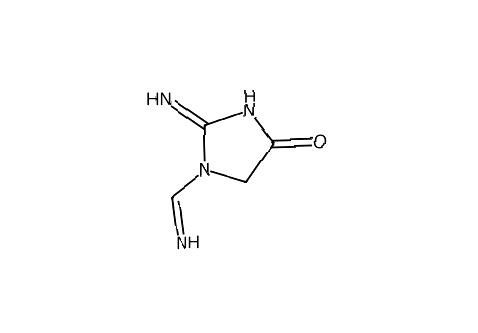 N=CN1CC(=O)NC1=N